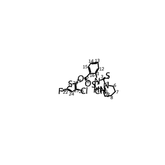 CSN(C(=S)N1CCCCN1)c1ccccc1C(=O)Oc1sc(F)cc1Cl